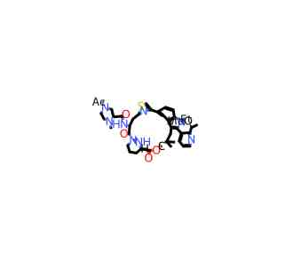 CCn1c(-c2cccnc2[C@H](C)OC)c2c3cc(ccc31)-c1csc(n1)C[C@H](NC(=O)C1CN(C(C)=O)CCN1C)C(=O)N1CCC[C@H](N1)C(=O)OCC(C)(C)C2